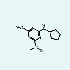 CSc1nc(NC2CCCC2)nc([S+](C)[O-])n1